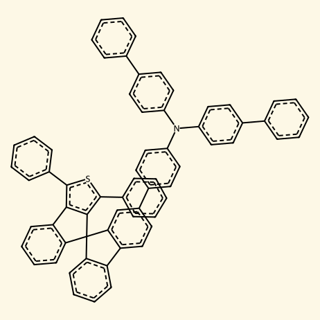 c1ccc(-c2ccc(N(c3ccc(-c4ccccc4)cc3)c3ccc(-c4ccc5c(c4)C4(c6ccccc6-5)c5ccccc5-c5c(-c6ccccc6)sc(-c6ccccc6)c54)cc3)cc2)cc1